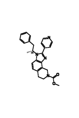 COC(=O)N1CCc2ccc3c(nc(-c4ccncc4)n3[C@H](C)Cc3ccccc3)c2C1